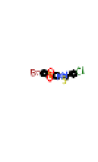 O=S(=O)(c1ccc(Br)cc1)C1CCN(c2nc(-c3ccc(Cl)cc3)cs2)CC1